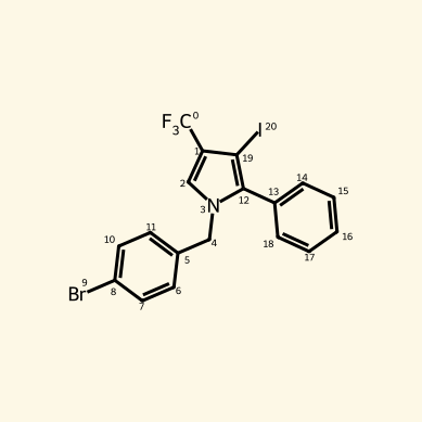 FC(F)(F)c1cn(Cc2ccc(Br)cc2)c(-c2ccccc2)c1I